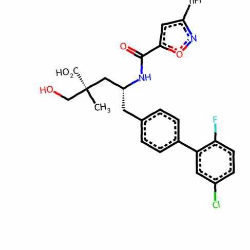 CCCc1cc(C(=O)N[C@H](Cc2ccc(-c3cc(Cl)ccc3F)cc2)C[C@@](C)(CO)C(=O)O)on1